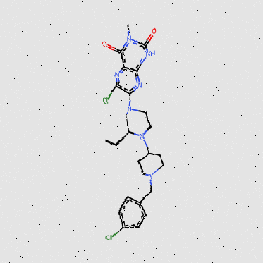 CC[C@H]1CN(c2nc3[nH]c(=O)n(C)c(=O)c3nc2Cl)CCN1C1CCN(Cc2ccc(Cl)cc2)CC1